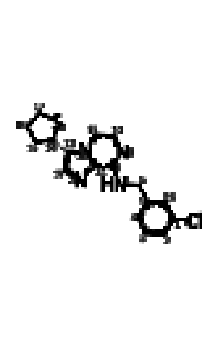 Clc1cccc(CNc2nccn3c([C@@H]4CCCS4)cnc23)c1